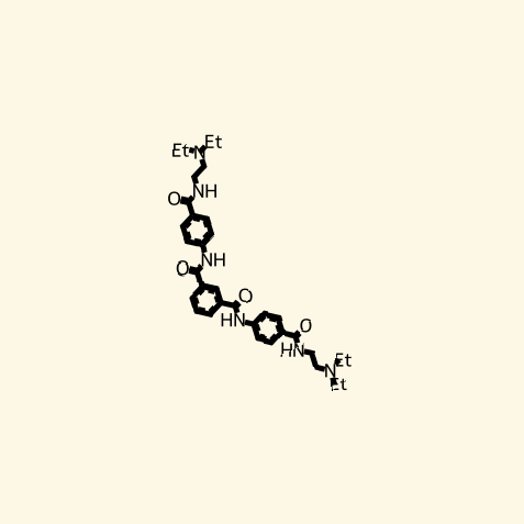 CCN(CC)CCNC(=O)c1ccc(NC(=O)c2cccc(C(=O)Nc3ccc(C(=O)NCCN(CC)CC)cc3)c2)cc1